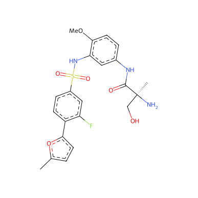 COc1ccc(NC(=O)[C@@](C)(N)CO)cc1NS(=O)(=O)c1ccc(-c2ccc(C)o2)c(F)c1